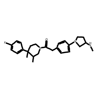 CNC1CCN(c2ccc(CC(=O)N3CCC(C)(c4ccc(F)cc4)C(C)C3)cc2)C1